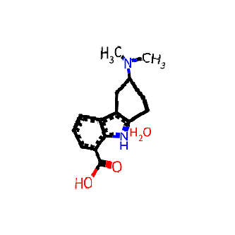 CN(C)C1CCc2[nH]c3c(C(=O)O)cccc3c2C1.O